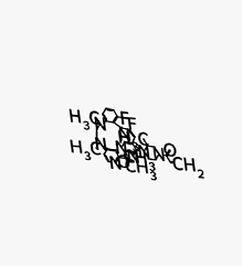 C=CC(=O)N1CCN(c2nc(=O)n3c4nc(c(F)cc24)-c2c(F)cccc2N(C)CCN(C)c2ccnc(C(C)C)c2-3)[C@@H](C)C1